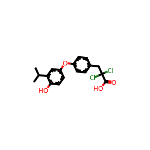 CC(C)c1cc(Oc2ccc(CC(Cl)(Cl)C(=O)O)cc2)ccc1O